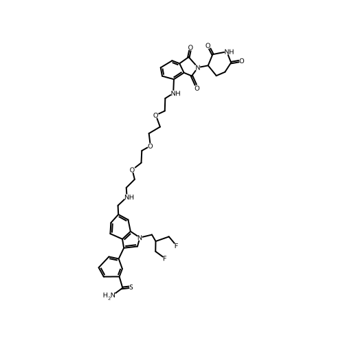 NC(=S)c1cccc(-c2cn(CC(CF)CF)c3cc(CNCCOCCOCCOCCNc4cccc5c4C(=O)N(C4CCC(=O)NC4=O)C5=O)ccc23)c1